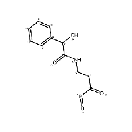 O=PC(=O)CCNC(=O)C(O)c1ccccc1